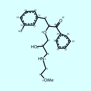 COCCNCC(O)COC(Cc1cccc(F)c1)C(=O)c1ccccc1